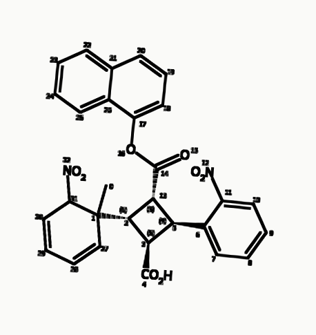 CC1([C@H]2[C@H](C(=O)O)[C@H](c3ccccc3[N+](=O)[O-])[C@H]2C(=O)Oc2cccc3ccccc23)C=CC=CC1[N+](=O)[O-]